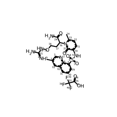 Cc1cnc2c(S(=O)(=O)Nc3ccc(C)n(C(CCONC(=N)N)C(N)=O)c3=O)cccc2c1.O=C(O)C(F)(F)F